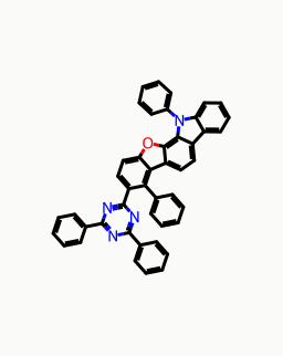 c1ccc(-c2nc(-c3ccccc3)nc(-c3ccc4oc5c(ccc6c7ccccc7n(-c7ccccc7)c65)c4c3-c3ccccc3)n2)cc1